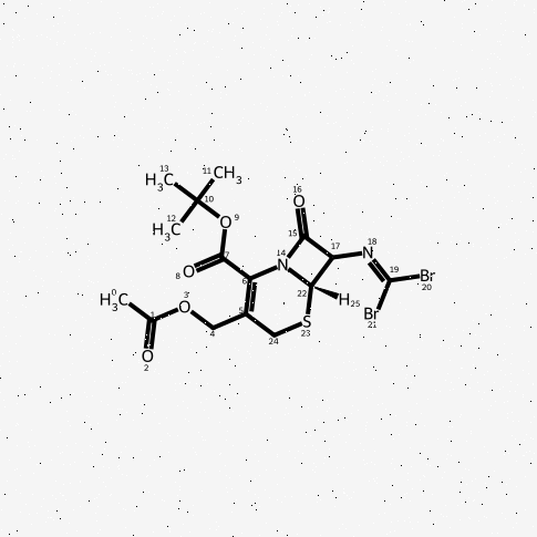 CC(=O)OCC1=C(C(=O)OC(C)(C)C)N2C(=O)C(N=C(Br)Br)[C@@H]2SC1